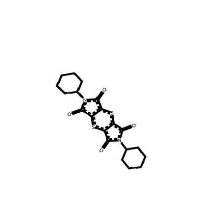 O=c1c2sc3c(=O)n(C4CCCCC4)c(=O)c3sc2c(=O)n1C1CCCCC1